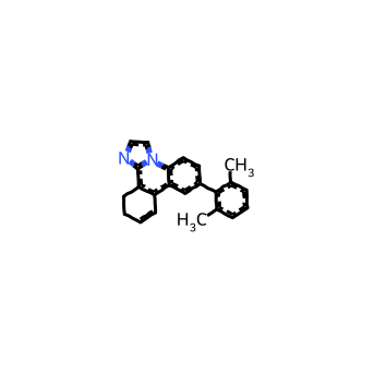 Cc1cccc(C)c1-c1ccc2c(c1)c1c(c3nccn32)CCC=C1